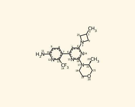 CC1CN(c2cc(-c3ccc(N)nc3C(F)(F)F)nc(N3CCOC[C@@H]3C)n2)C1